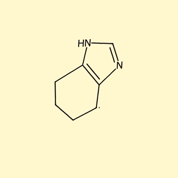 [CH]1CCCc2[nH]cnc21